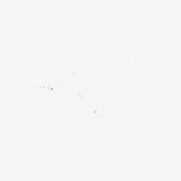 N=S(=O)(CC[C@H](N)C(=O)O)CCC(O)([C@H]1CC[C@H](c2ccc(Cl)cc2Cl)CC1)C(F)(F)F